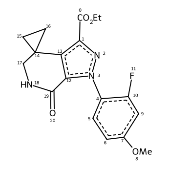 CCOC(=O)c1nn(-c2ccc(OC)cc2F)c2c1C1(CC1)CNC2=O